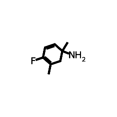 CC1=C(F)C=CC(C)(N)C1